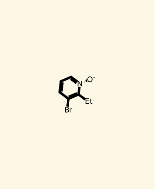 CCc1c(Br)ccc[n+]1[O-]